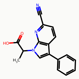 CC(C(=O)O)n1cc(-c2ccccc2)c2ccc(C#N)nc21